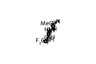 COc1cc2c(Nc3nc4ccc(NC(=O)Nc5cc(C(F)(F)F)ccc5F)cc4s3)ncnc2cc1OCCN(C)C